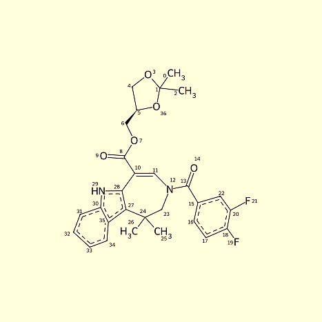 CC1(C)OC[C@H](COC(=O)C2=CN(C(=O)c3ccc(F)c(F)c3)CC(C)(C)c3c2[nH]c2ccccc32)O1